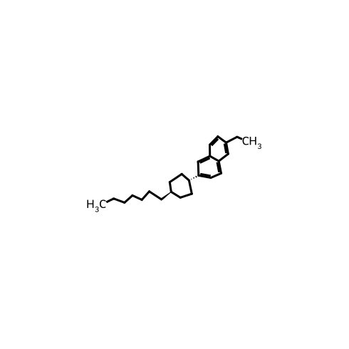 CCCCCCC[C@H]1CC[C@H](c2ccc3cc(CC)ccc3c2)CC1